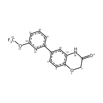 O=C1COc2ccc(-c3cccc(OC(F)(F)F)n3)cc2N1